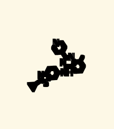 Cc1cccc2c(Nc3ccc4nc(C5CC5)sc4c3)nc(-c3ccncc3)nc12